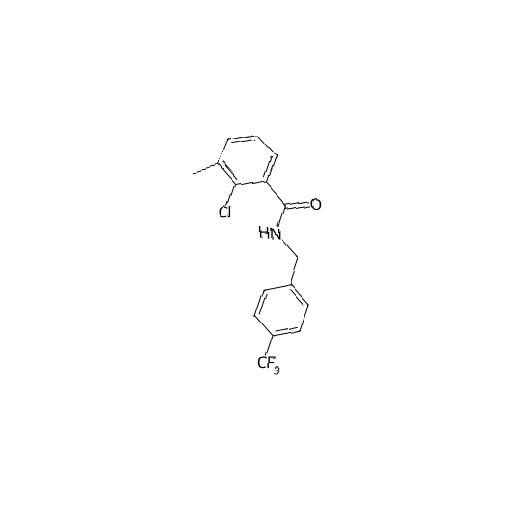 Cc1cccc(C(=O)NCc2ccc(C(F)(F)F)cc2)c1Cl